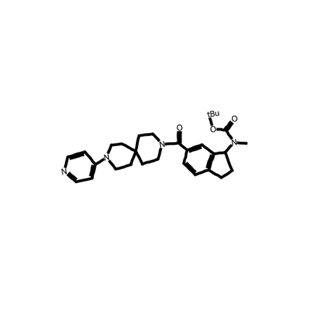 CN(C(=O)OC(C)(C)C)C1CCc2ccc(C(=O)N3CCC4(CC3)CCN(c3ccncc3)CC4)cc21